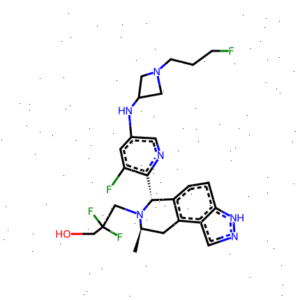 C[C@@H]1Cc2c(ccc3[nH]ncc23)[C@@H](c2ncc(NC3CN(CCCF)C3)cc2F)N1CC(F)(F)CO